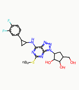 CCCCSc1nc(NC2CC2c2ccc(F)c(F)c2)c2nnn(C3CC(CO)C(O)C3O)c2n1